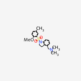 COc1ccc(C)cc1S(=O)(=O)N1CCc2c(CN(C)C)cccc21